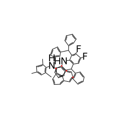 Cc1cc(C)c(NC2c3cccc4cccc(c34)C2Nc2c(C(c3ccccc3)c3ccccc3)cc(F)c(F)c2C(c2ccccc2)c2ccccc2)c(C)c1